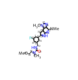 CNc1nc2[nH]c(-c3cc(F)cc(CNC(=O)N(C)CCOC)c3)cc2c2c1ncn2C